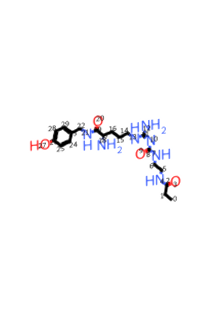 CCC(=O)NCCNC(=O)/N=C(/N)NCCC[C@@H](N)C(=O)NCc1ccc(O)cc1